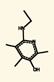 CCNc1nc(C)c(O)c(C)c1C